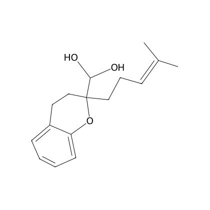 CC(C)=CCCC1(C(O)O)CCc2ccccc2O1